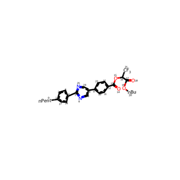 CCCCCc1ccc(-c2ncc(-c3ccc(C(=O)OC(C(=O)OCCCC)C(F)(F)F)cc3)cn2)cc1